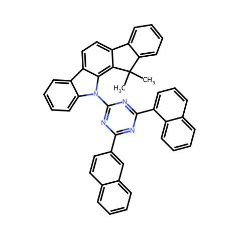 CC1(C)c2ccccc2-c2ccc3c4ccccc4n(-c4nc(-c5ccc6ccccc6c5)nc(-c5cccc6ccccc56)n4)c3c21